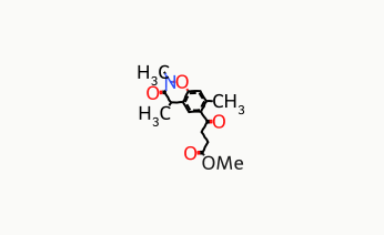 COC(=O)CCC(=O)c1cc2c(cc1C)ON(C)C(=O)C2C